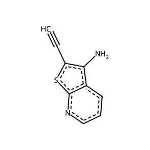 C#Cc1sc2ncccc2c1N